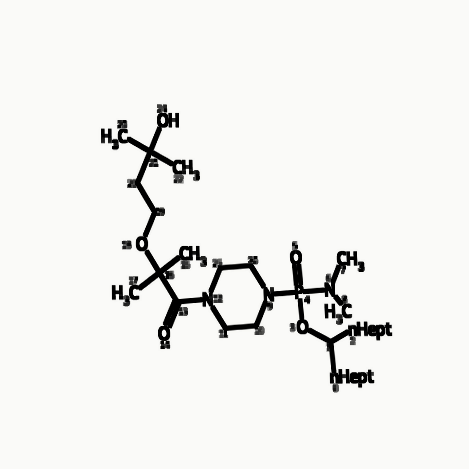 CCCCCCCC(CCCCCCC)OP(=O)(N(C)C)N1CCN(C(=O)C(C)(C)OCCC(C)(C)O)CC1